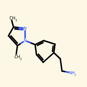 Cc1cc(C)n(-c2ccc(CCN)cc2)n1